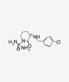 NP(N)(=O)N1CCC[C@H](NCc2ccc(Cl)cc2)C1=O